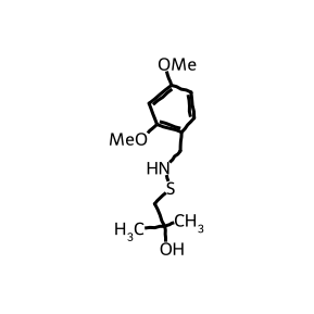 COc1ccc(CNSCC(C)(C)O)c(OC)c1